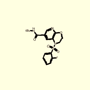 CC(C)(C)NC(=O)c1cnc2c(c1)N(S(=O)(=O)c1ccccc1F)CCO2